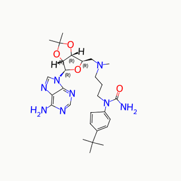 CN(CCCN(C(N)=O)c1ccc(C(C)(C)C)cc1)C[C@H]1O[C@@H](n2cnc3c(N)ncnc32)[C@@H]2OC(C)(C)O[C@@H]21